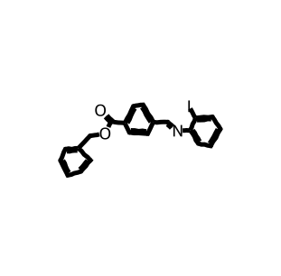 O=C(OCc1ccccc1)c1ccc(C=Nc2ccccc2I)cc1